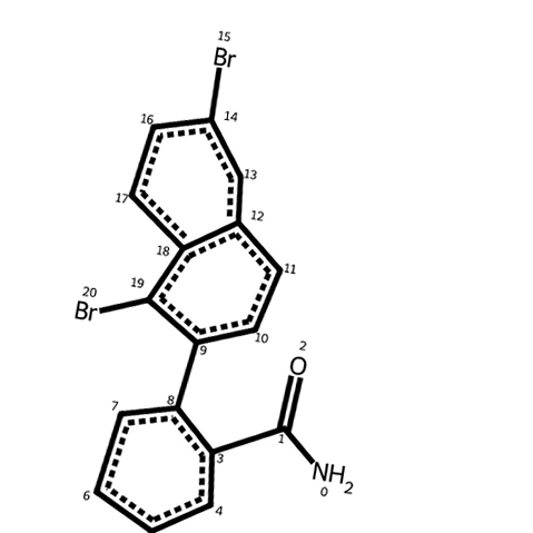 NC(=O)c1ccccc1-c1ccc2cc(Br)ccc2c1Br